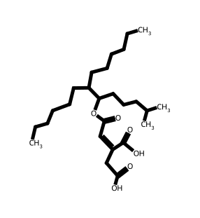 CCCCCCC(CCCCCC)C(CCCC(C)C)OC(=O)C=C(CC(=O)O)C(=O)O